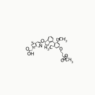 COc1cc(OCCCS(C)(=O)=O)cc(C)c1-c1cccc2c1CCC2Oc1cc2c(cn1)[C@H](CC(=O)O)CS2